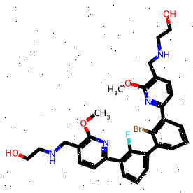 COc1nc(-c2cccc(-c3cccc(-c4ccc(CNCCO)c(OC)n4)c3Br)c2F)ccc1CNCCO